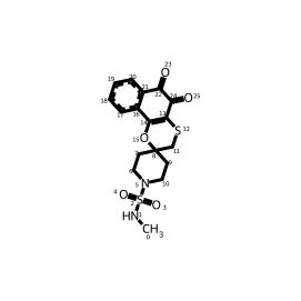 CNS(=O)(=O)N1CCC2(CC1)CSC1=C(O2)c2ccccc2C(=O)C1=O